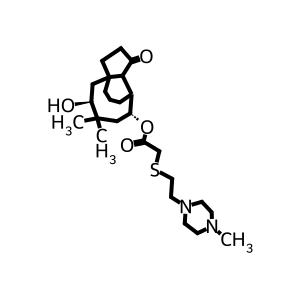 CN1CCN(CCSCC(=O)O[C@@H]2CC(C)(C)[C@@H](O)CC34CCCC2C3C(=O)CC4)CC1